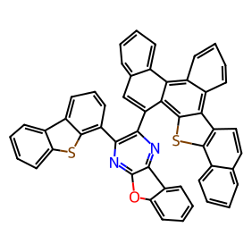 c1ccc2c(c1)ccc1c2sc2c3c(-c4nc5c(nc4-c4cccc6c4sc4ccccc46)oc4ccccc45)cc4ccccc4c3c3ccccc3c12